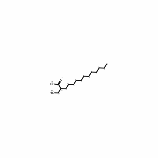 CCCCCCCCCCCCC(CO)C(O)=S